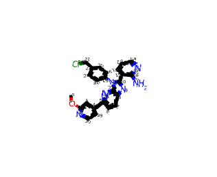 COc1cc(-c2ccc3nc(-c4cccnc4N)n(-c4ccc(CCl)cc4)c3n2)ccn1